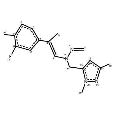 C=NN(/C=C(\C)c1ccc(C)c(F)c1)Cc1cc(C)nn1C